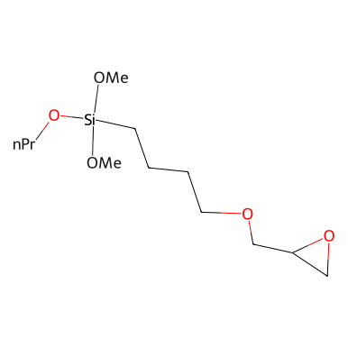 CCCO[Si](CCCCOCC1CO1)(OC)OC